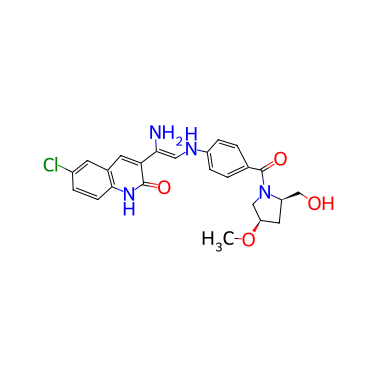 CO[C@@H]1C[C@H](CO)N(C(=O)c2ccc(N/C=C(\N)c3cc4cc(Cl)ccc4[nH]c3=O)cc2)C1